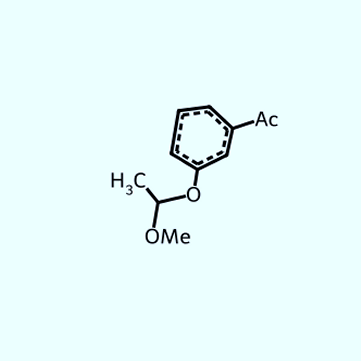 COC(C)Oc1cccc(C(C)=O)c1